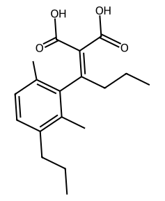 CCCC(=C(C(=O)O)C(=O)O)c1c(C)ccc(CCC)c1C